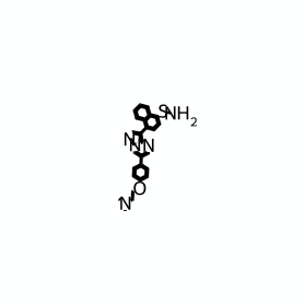 CN(C)CCOc1ccc(-c2cnc3c(-c4ccc(SN)c5ccccc45)cnn3c2)cc1